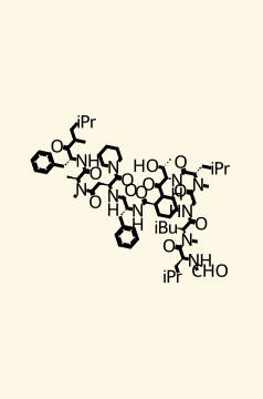 CC[C@H](C)[C@@H](C(=O)NCC(=O)N(C)[C@@H](CC(C)C)C(=O)N[C@H](C(=O)C1CCCC[C@H]1C(=O)N[C@H](Cc1ccccc1)C(=O)N[C@@H](CC(=O)N(C)[C@@H](C)C(=O)N[C@H](Cc1ccccc1)C(=O)C(C)CC(C)C)C(=O)N1CCCCC1)[C@@H](C)O)N(C)C(=O)[C@H](CC(C)C)NC=O